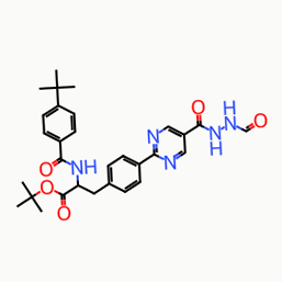 CC(C)(C)OC(=O)C(Cc1ccc(-c2ncc(C(=O)NNC=O)cn2)cc1)NC(=O)c1ccc(C(C)(C)C)cc1